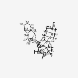 O=C(OC1(C(F)(F)C(F)(F)C(F)(F)F)COC(O)(C(F)(F)F)C1(F)F)C1CC2CC1C1C3CCC(C3)C21